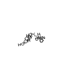 CNc1ccccc1NC(=O)CCC(C)[C@H]1CC[C@H]2[C@@H]3CC=C4C[C@@H](O)CC[C@]4(C)[C@H]3CC[C@]12C